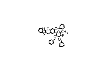 Cc1cc(OCc2ccccc2)c([C@@H]2O[C@H](C)[C@@H](F)[C@H](OCc3ccccc3)[C@H]2OCc2ccccc2)cc1Cc1cc2ccccc2s1